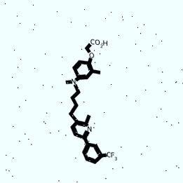 Cc1cc(N(C)CCCCc2ccc(-c3cccc(C(F)(F)F)c3)nc2C)ccc1OCC(=O)O